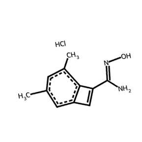 Cc1cc(C)c2c(c1)C=C2C(N)=NO.Cl